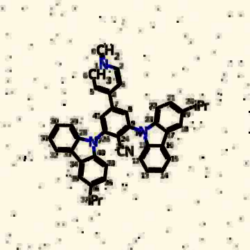 C=N/C=C\C(=C/C)c1cc(-n2c3ccccc3c3cc(C(C)C)ccc32)c(C#N)c(-n2c3ccccc3c3cc(C(C)C)ccc32)c1